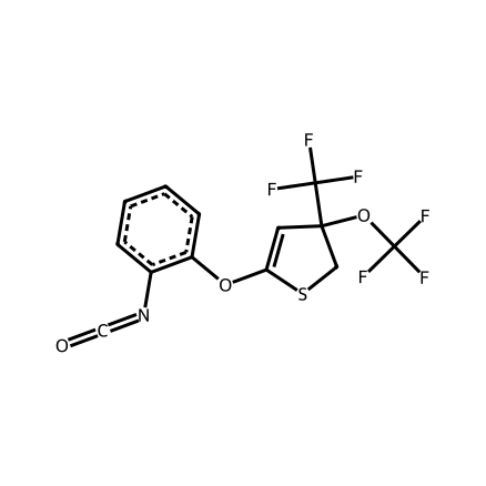 O=C=Nc1ccccc1OC1=CC(OC(F)(F)F)(C(F)(F)F)CS1